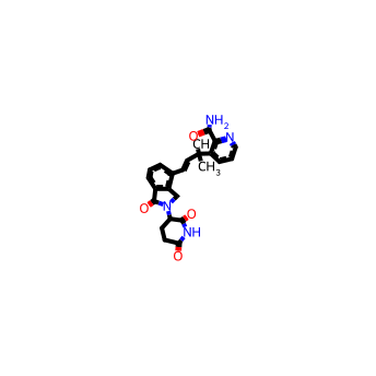 CC(C)(C=Cc1cccc2c1CN(C1CCC(=O)NC1=O)C2=O)c1cccnc1C(N)=O